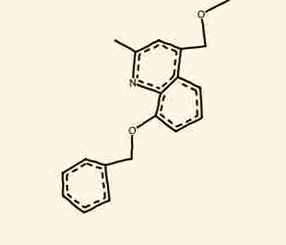 COCc1cc(C)nc2c(OCc3ccccc3)cccc12